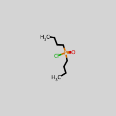 CCCCP(=O)(Cl)CCCC